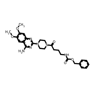 COc1cc2nc(N3CCN(C(=O)CCCNC(=O)OCc4ccccc4)CC3)nc(N)c2cc1OC